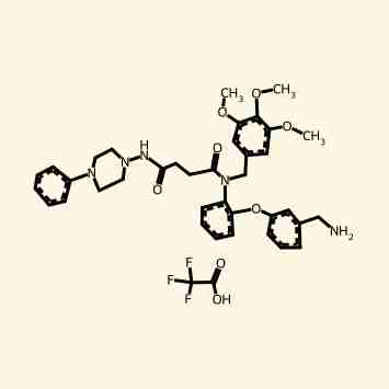 COc1cc(CN(C(=O)CCC(=O)NN2CCN(c3ccccc3)CC2)c2ccccc2Oc2cccc(CN)c2)cc(OC)c1OC.O=C(O)C(F)(F)F